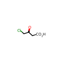 O=C(O)CC(=O)CCl